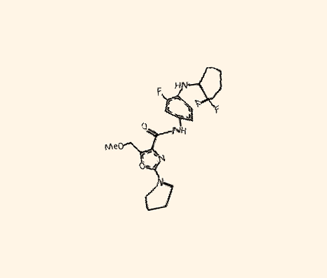 COCc1oc(N2CCCC2)nc1C(=O)Nc1ccc(NC2CCCC2(F)F)c(F)c1